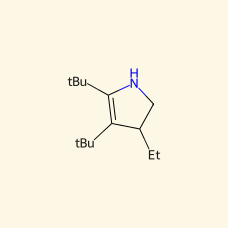 CCC1CNC(C(C)(C)C)=C1C(C)(C)C